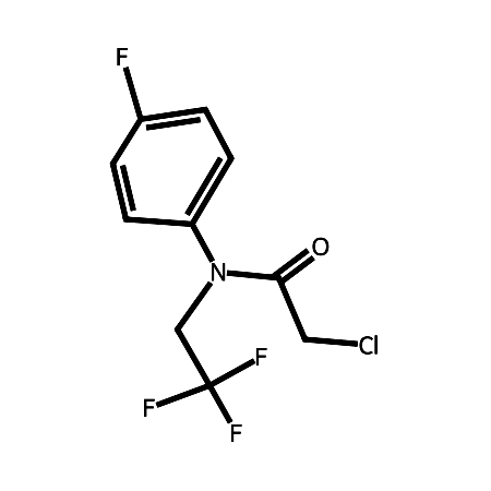 O=C(CCl)N(CC(F)(F)F)c1ccc(F)cc1